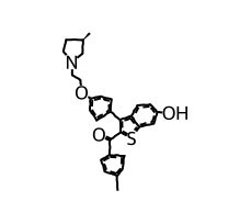 Cc1ccc(C(=O)c2sc3cc(O)ccc3c2-c2ccc(OCCN3CC[C@@H](C)C3)cc2)cc1